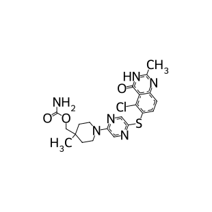 Cc1nc2ccc(Sc3cnc(N4CCC(C)(COC(N)=O)CC4)cn3)c(Cl)c2c(=O)[nH]1